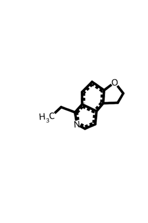 CCc1nccc2c3c(ccc12)OCC3